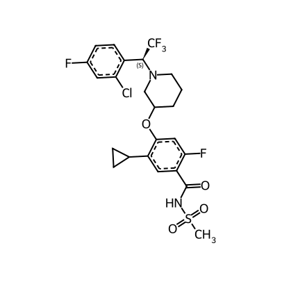 CS(=O)(=O)NC(=O)c1cc(C2CC2)c(OC2CCCN([C@@H](c3ccc(F)cc3Cl)C(F)(F)F)C2)cc1F